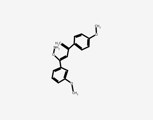 C=C(/C=C(\ON)c1cccc(OC)c1)c1ccc(OC)cc1